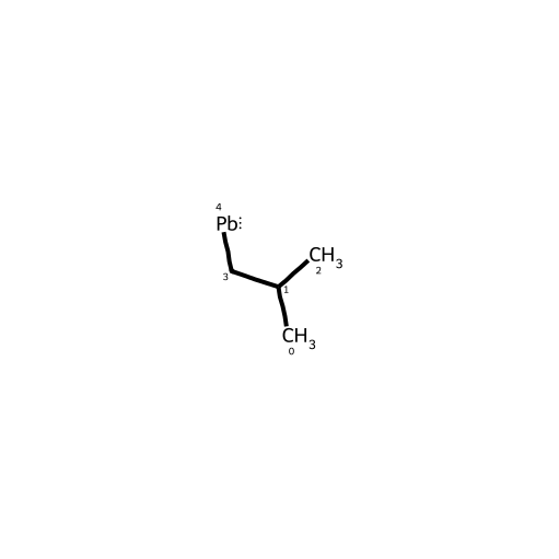 CC(C)[CH2][Pb]